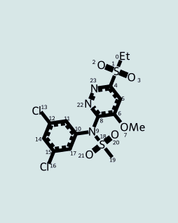 CCS(=O)(=O)c1cc(OC)c(N(c2cc(Cl)cc(Cl)c2)S(C)(=O)=O)nn1